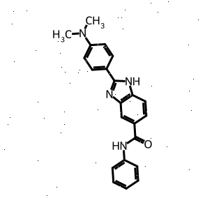 CN(C)c1ccc(-c2nc3cc(C(=O)Nc4ccccc4)ccc3[nH]2)cc1